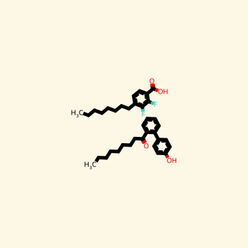 CCCCCCCCC(=O)c1ccccc1-c1ccc(O)cc1.CCCCCCCCc1ccc(C(=O)O)c(F)c1F